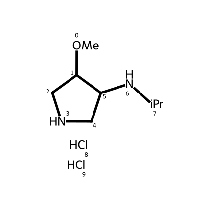 COC1CNCC1NC(C)C.Cl.Cl